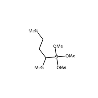 CNCCC(NC)[Si](OC)(OC)OC